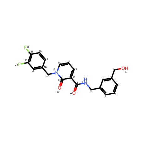 O=C(NCc1cccc(CO)c1)c1cccn(Cc2ccc(F)c(F)c2)c1=O